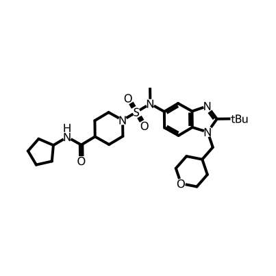 CN(c1ccc2c(c1)nc(C(C)(C)C)n2CC1CCOCC1)S(=O)(=O)N1CCC(C(=O)NC2CCCC2)CC1